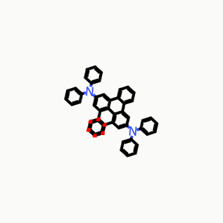 c1ccc(-c2cc(N(c3ccccc3)c3ccccc3)cc3c4ccccc4c4cc(N(c5ccccc5)c5ccccc5)cc(-c5ccccc5)c4c23)cc1